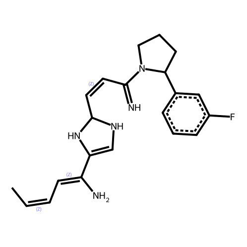 C/C=C\C=C(/N)C1=CNC(/C=C\C(=N)N2CCCC2c2cccc(F)c2)N1